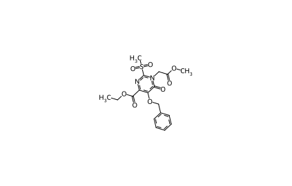 CCOC(=O)c1nc(S(C)(=O)=O)n(CC(=O)OC)c(=O)c1OCc1ccccc1